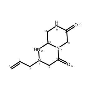 C=CCN1CC(=O)N2CC(=O)NCC2N1